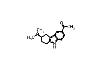 CC(=O)c1ccc2[nH]c3c(c2c1)CC(N(C)C)CC3